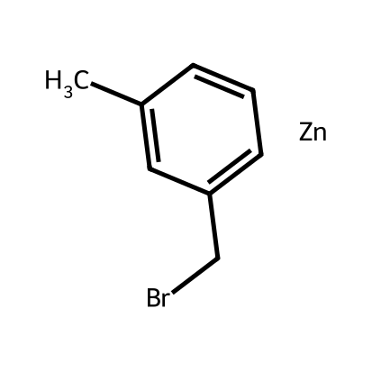 Cc1cccc(CBr)c1.[Zn]